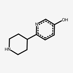 Oc1ccc(C2CCNCC2)nc1